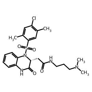 Cc1cc(S(=O)(=O)N2c3ccccc3NC(=O)[C@H]2CC(=O)NCCCN(C)C)c(C)cc1Cl